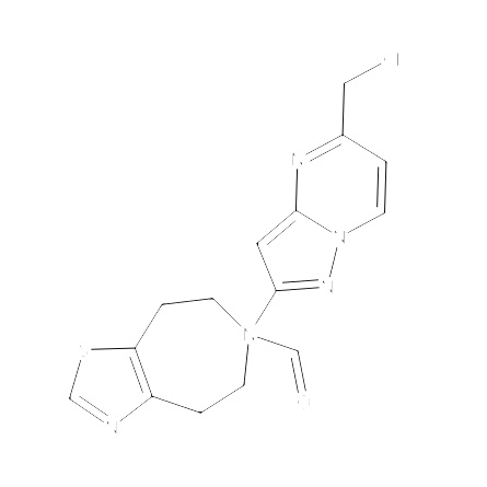 CCc1ccn2nc([N+]3(C=O)CCc4ncsc4CC3)cc2n1